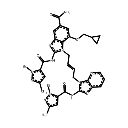 CCn1nc(C)cc1C(=O)Nc1nc2cccnc2n1CC=CCn1c(NC(=O)c2cc(C)nn2CC)nc2cc(C(N)=O)cc(OCC3CC3)c21